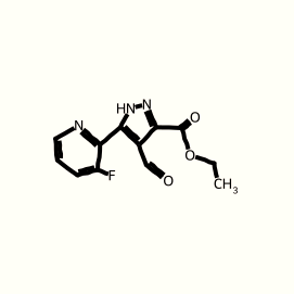 CCOC(=O)c1n[nH]c(-c2ncccc2F)c1C=O